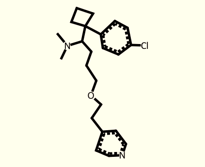 CN(C)C(CCCOCCc1ccncc1)C1(c2ccc(Cl)cc2)CCC1